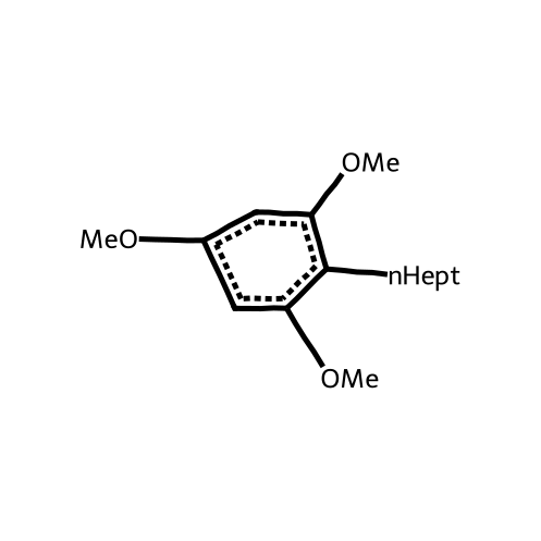 CCCCCCCc1c(OC)cc(OC)cc1OC